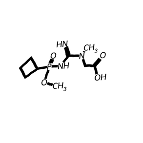 COP(=O)(NC(=N)N(C)CC(=O)O)C1CCC1